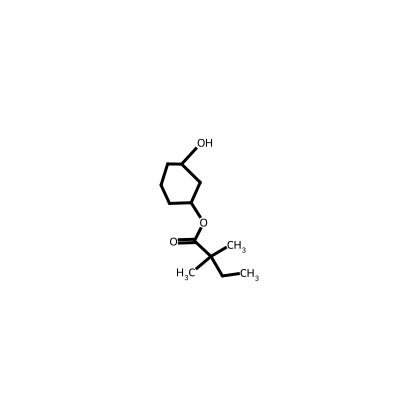 CCC(C)(C)C(=O)OC1CCCC(O)C1